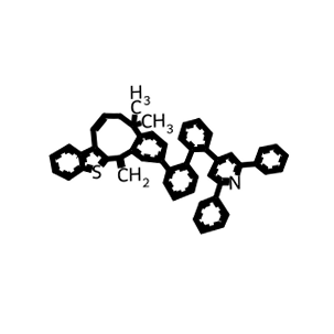 C=C1c2cc(-c3ccccc3-c3ccccc3-c3cc(-c4ccccc4)nc(-c4ccccc4)c3)ccc2C(C)(C)C/C=C\c2c1sc1ccccc21